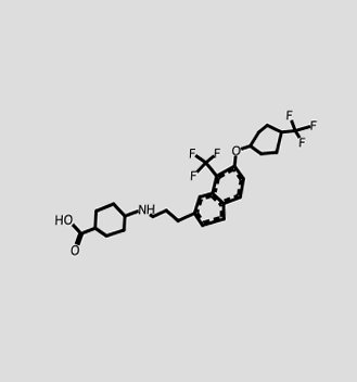 O=C(O)C1CCC(NCCCc2ccc3ccc(OC4CCC(C(F)(F)F)CC4)c(C(F)(F)F)c3c2)CC1